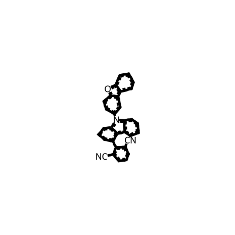 N#Cc1cccc(C#N)c1-c1cccc2c1c1ccccc1n2-c1ccc2oc3ccccc3c2c1